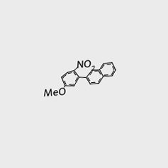 COc1ccc([N+](=O)[O-])c(-c2ccc3ccccc3c2)c1